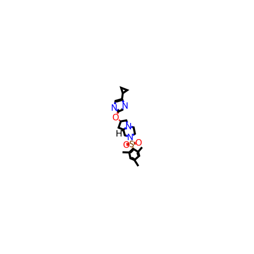 Cc1cc(C)c(S(=O)(=O)N2CCN3C[C@H](Oc4cnc(C5CC5)cn4)C[C@H]3C2)c(C)c1